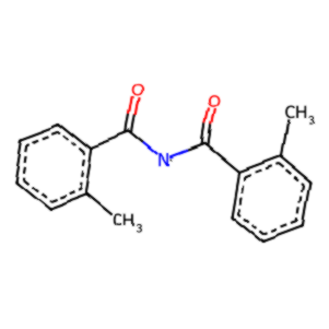 Cc1ccccc1C(=O)[N]C(=O)c1ccccc1C